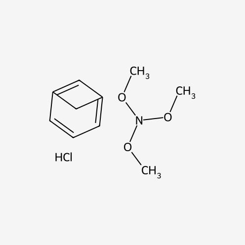 CON(OC)OC.Cl.c1cc2cc(c1)C2